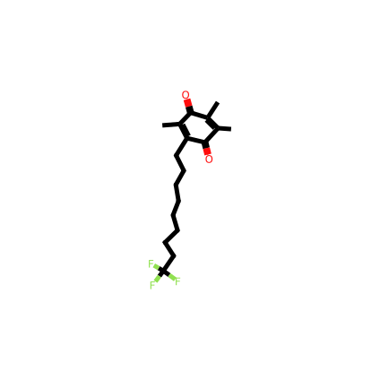 CC1=C(C)C(=O)C(CCCCCCCCC(F)(F)F)=C(C)C1=O